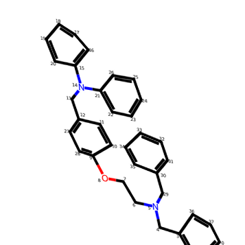 c1ccc(CN(CCOc2ccc(CN(c3ccccc3)c3ccccc3)cc2)Cc2ccccc2)cc1